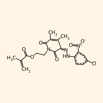 C=C(C)C(=O)OCCN1C(=O)C(C)=C(C)/C(=N/Nc2ccc(Cl)cc2[N+](=O)[O-])C1=O